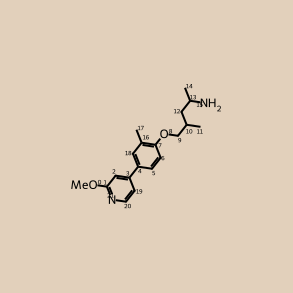 COc1cc(-c2ccc(OCC(C)CC(C)N)c(C)c2)ccn1